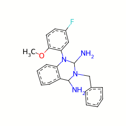 COc1ccc(F)cc1N1c2ccccc2C(N)N(Cc2ccccc2)C1N